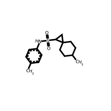 Cc1ccc(NS(=O)(=O)C2CC23CCC(C)CC3)cc1